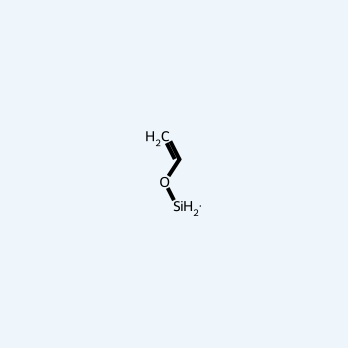 C=CO[SiH2]